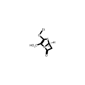 CCOC1=C(C(=O)O)N2C(=O)C[C@@H]2S1